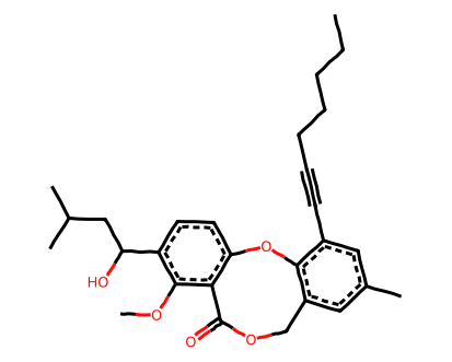 CCCCCC#Cc1cc(C)cc2c1Oc1ccc(C(O)CC(C)C)c(OC)c1C(=O)OC2